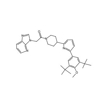 COc1c(C(C)(C)C)cc(-c2cccc(C3CCN(C(=O)Cn4cnc5cccnc54)CC3)n2)cc1C(C)(C)C